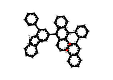 c1ccc(-c2cc(-c3c4ccccc4c(-c4ccccc4-c4ccc5ccccc5c4)c4ccccc34)cc3c2sc2ccccc23)cc1